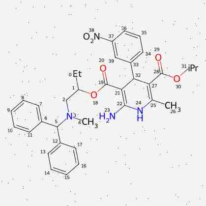 CCC(CN(C)C(c1ccccc1)c1ccccc1)OC(=O)C1=C(N)NC(C)=C(C(=O)OC(C)C)C1c1cccc([N+](=O)[O-])c1